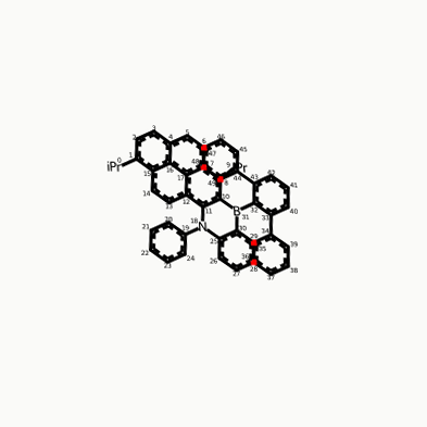 CC(C)c1ccc2ccc3c(C(C)C)c4c(c5ccc1c2c35)N(c1ccccc1)c1ccccc1B4c1c(-c2ccccc2)cccc1-c1ccccc1